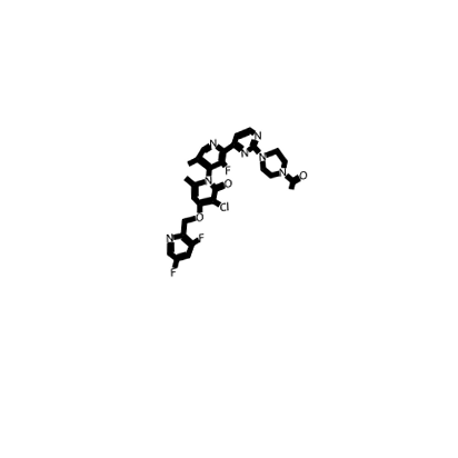 CC(=O)N1CCN(c2nccc(-c3ncc(C)c(-n4c(C)cc(OCc5ncc(F)cc5F)c(Cl)c4=O)c3F)n2)CC1